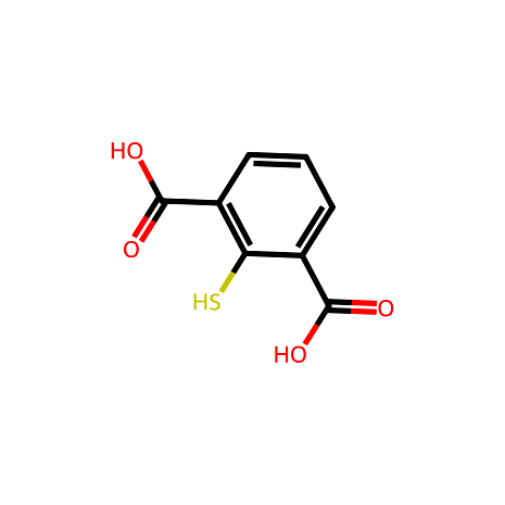 O=C(O)c1cccc(C(=O)O)c1S